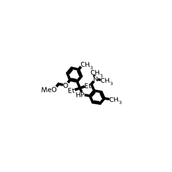 CCC(CC)(Pc1ccc(C)cc1CN(C)C)c1cc(C)ccc1OCOC